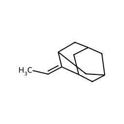 CC=C1C2CC3CC(C2)CC1C3